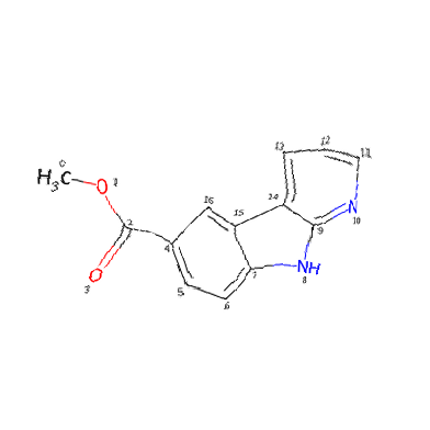 COC(=O)c1ccc2[nH]c3ncccc3c2c1